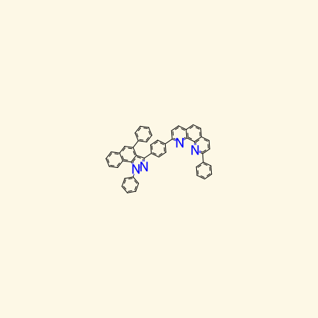 c1ccc(-c2ccc3ccc4ccc(-c5ccc(-c6nn(-c7ccccc7)c7c6c(-c6ccccc6)cc6ccccc67)cc5)nc4c3n2)cc1